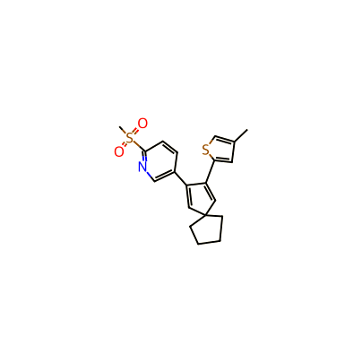 Cc1csc(C2=CC3(C=C2c2ccc(S(C)(=O)=O)nc2)CCCC3)c1